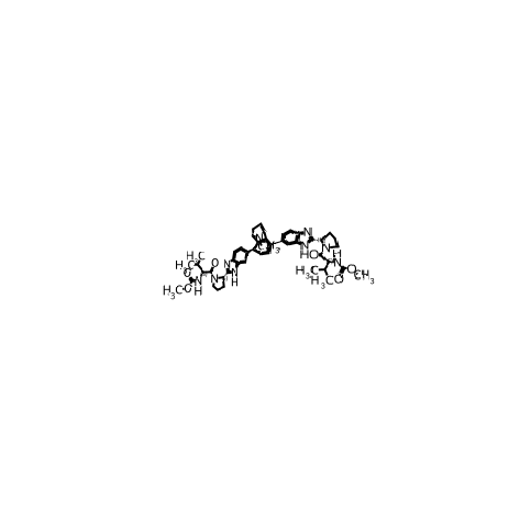 COC(=O)N[C@H](C(=O)N1CCC[C@H]1c1nc2ccc(-c3ccc(-c4ccc5nc([C@@H]6CCCN6C(=O)[C@@H](NC(=O)OC)C(C)C)[nH]c5c4)c4c3C3CCC4N3C)cc2[nH]1)C(C)C